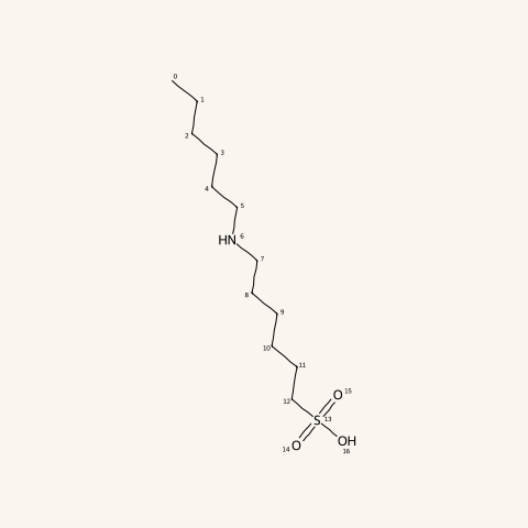 CCCCCCNCCCCCCS(=O)(=O)O